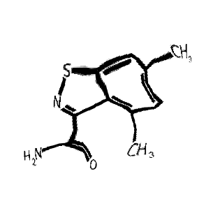 Cc1cc(C)c2c(C(N)=O)nsc2c1